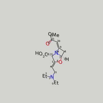 CCN(CC)C/C=C1\O[C@@H]2C/C(=C/C(=O)OC)N2[C@H]1C(=O)O